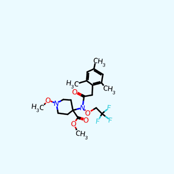 COC(=O)C1(N(OCC(F)(F)F)C(=O)Cc2c(C)cc(C)cc2C)CCN(OC)CC1